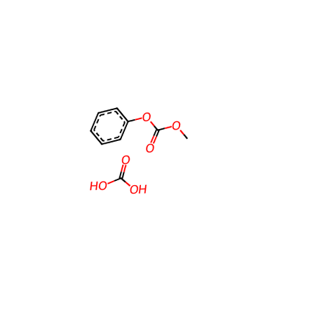 COC(=O)Oc1ccccc1.O=C(O)O